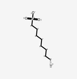 O=S(=O)([O-])CCCCCCCF.[Li+]